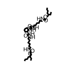 CCCCC(CC)COC(=O)NCCCCCCNC(=O)N[C@@H]1CCCC[C@H]1NC(=O)NCCCCCCNC(=O)OCC(CC)CCCC